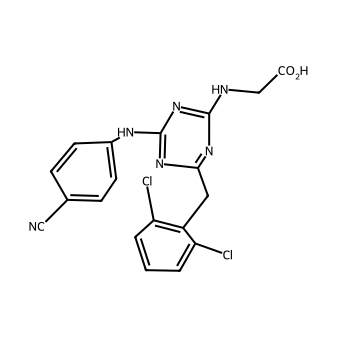 N#Cc1ccc(Nc2nc(Cc3c(Cl)cccc3Cl)nc(NCC(=O)O)n2)cc1